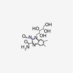 Cc1cc2nc(C(N)=O)/c(=N\C=O)n(CC(O)C(O)C(O)CO)c2cc1C